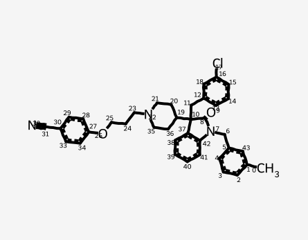 Cc1cccc(CN2C(=O)C(Cc3cccc(Cl)c3)(C3CCN(CCCOc4ccc(C#N)cc4)CC3)c3ccccc32)c1